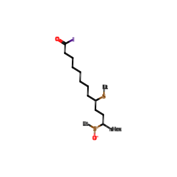 CCCCCCC(CCC(CCCCCCCC(=O)I)SCC)[S+]([O-])CC